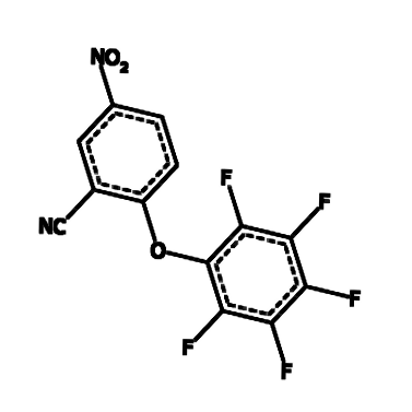 N#Cc1cc([N+](=O)[O-])ccc1Oc1c(F)c(F)c(F)c(F)c1F